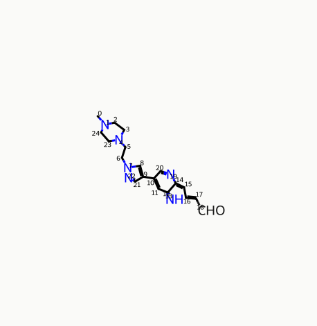 CN1CCN(CCn2cc(C3=CC(=N)/C(=C\C=CC=O)N=C3)cn2)CC1